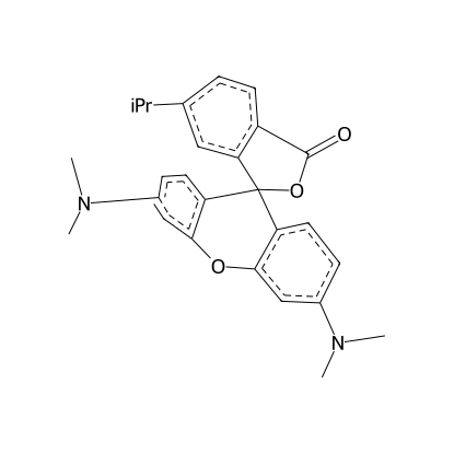 CC(C)c1ccc2c(c1)C1(OC2=O)c2ccc(N(C)C)cc2Oc2cc(N(C)C)ccc21